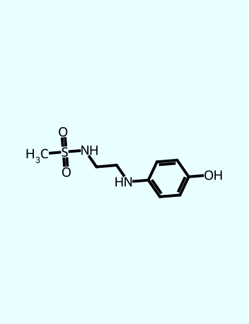 CS(=O)(=O)NCCNc1ccc(O)cc1